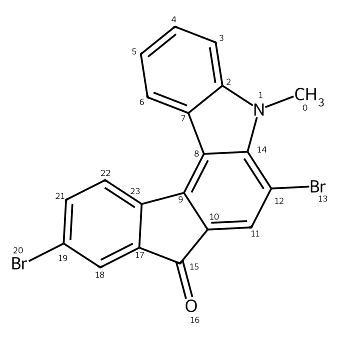 Cn1c2ccccc2c2c3c(cc(Br)c21)C(=O)c1cc(Br)ccc1-3